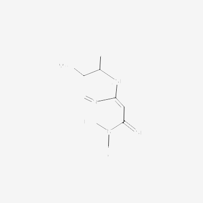 C=N/C(=C\C(=N)N(C)CC)NC(C)COC